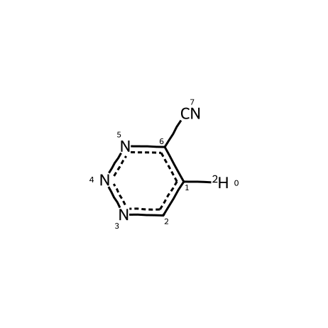 [2H]c1cnnnc1C#N